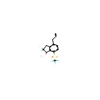 C=CCc1ccc(S(=O)(=O)C(F)(F)F)c2c1CC(F)(F)C2O